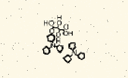 O=C(O)C(O)C(O)C(=O)O.c1ccc(N(c2ccccc2)c2ccccc2)cc1.c1ccc(N(c2ccccc2)c2ccccc2)cc1